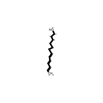 C/C=C/C=CC=CCCCCCCO